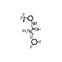 N[C@@H](COc1cc(F)cc(F)c1)[C@H](O)CNc1cccc(C(F)(F)F)c1